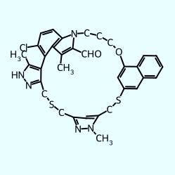 Cc1[nH]nc2c1-c1c(Cl)ccc3c1c(C)c(C=O)n3CCCOc1cc(cc3ccccc13)SCc1cc(nn1C)CSC2